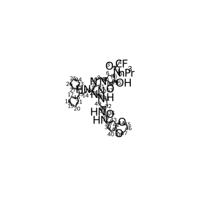 CCCN(C(=O)C(F)(F)F)[C@H]1C[C@@H](n2cnc3c(NCC(c4ccccc4)c4ccccc4)nc(N4CC[C@@H](NC(=O)Nc5ccc6c(c5)OCCCO6)C4)nc32)[C@H](O)[C@@H]1O